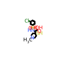 CN1CCC(S)([C@@H](NS(=O)(=O)c2cccc(Cl)c2)C(=O)O)CC1